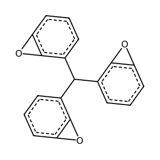 c1cc2c(c(C(c3cccc4c3O4)c3cccc4c3O4)c1)O2